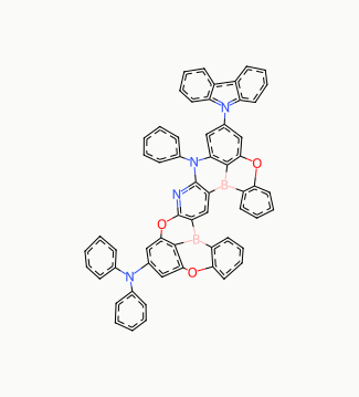 c1ccc(N(c2ccccc2)c2cc3c4c(c2)Oc2nc5c(cc2B4c2ccccc2O3)B2c3ccccc3Oc3cc(-n4c6ccccc6c6ccccc64)cc(c32)N5c2ccccc2)cc1